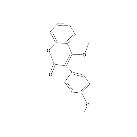 COc1ccc(-c2c(OC)c3ccccc3oc2=O)cc1